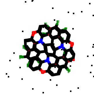 Fc1c(F)c(F)c(-c2c(N3c4ccccc4Oc4ccccc43)c(-c3c(F)c(F)c(F)c(F)c3F)c(N3c4ccccc4Oc4ccccc43)c(-c3c(F)c(F)c(F)c(F)c3F)c2N2c3ccccc3Oc3ccccc32)c(F)c1F